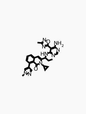 CCC(Nc1ncnc(N)c1-c1nc(C)no1)c1cc2cccc(-c3cnn(C)c3)c2c(=O)n1C1CC1